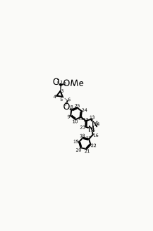 COC(=O)[C@@H]1C[C@H]1COc1ccc(-c2cnn(Cc3ccccc3)c2)cc1